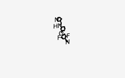 N#Cc1cc(F)c(Oc2cccc(NCc3cccnc3)c2)cc1F